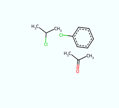 CC(C)=O.CC(C)Cl.Clc1ccccc1